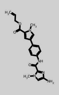 C=CCOC(=O)c1cc(-c2ccc(NC(=O)c3nc(N)cn3C)cc2)cn1C